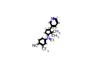 CCN(c1ccc(C#N)c(C(F)(F)F)c1)C1CC=C(c2cccnc2)C1(C)C